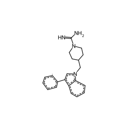 N=C(N)N1CCC(Cn2cc(-c3[c]cccc3)c3ccccc32)CC1